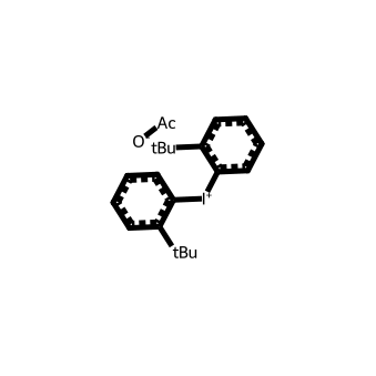 CC(=O)[O-].CC(C)(C)c1ccccc1[I+]c1ccccc1C(C)(C)C